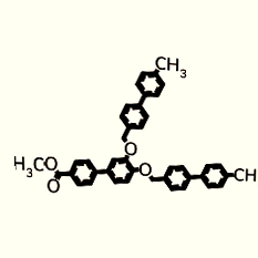 COC(=O)c1ccc(-c2ccc(OCc3ccc(-c4ccc(C)cc4)cc3)c(OCc3ccc(-c4ccc(C)cc4)cc3)c2)cc1